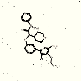 CSN(C(=O)C(Nc1cccc(-c2sc(C(=O)O)c(OCC(=O)O)c2Cl)c1)C1CCNCC1)c1ccccc1